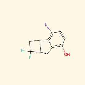 Oc1ccc(I)c2c1CC1C2CC1(F)F